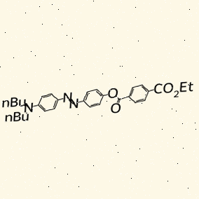 CCCCN(CCCC)c1ccc(N=Nc2ccc(OC(=O)c3ccc(C(=O)OCC)cc3)cc2)cc1